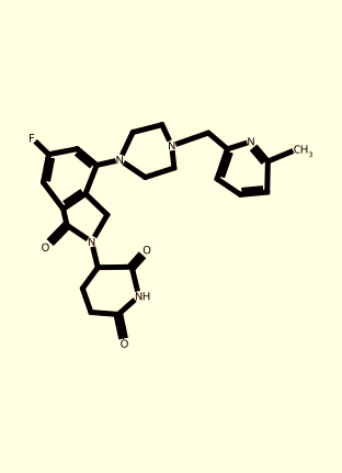 Cc1cccc(CN2CCN(c3cc(F)cc4c3CN(C3CCC(=O)NC3=O)C4=O)CC2)n1